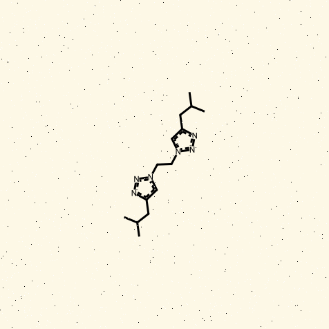 CC(C)Cc1cn(CCn2cc(CC(C)C)nn2)nn1